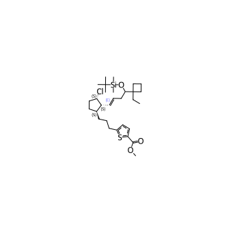 CCC1(C(C/C=C/[C@@H]2[C@@H](CCCc3ccc(C(=O)OC)s3)CC[C@@H]2Cl)O[Si](C)(C)C(C)(C)C)CCC1